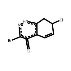 O=c1c(Br)n[nH]c2c1C=CC(Cl)C2